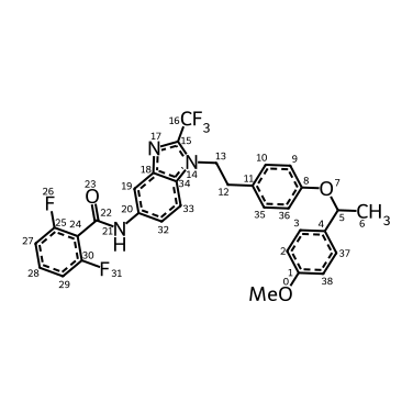 COc1ccc(C(C)Oc2ccc(CCn3c(C(F)(F)F)nc4cc(NC(=O)c5c(F)cccc5F)ccc43)cc2)cc1